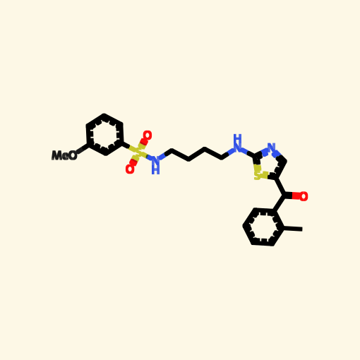 COc1cccc(S(=O)(=O)NCCCCNc2ncc(C(=O)c3ccccc3C)s2)c1